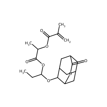 C=C(C)C(=O)OC(C)C(=O)OC(CC)OC1C2CC3CC(C2)C(=O)OC1C3